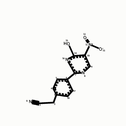 N#CCc1ccc(-c2ncc([N+](=O)[O-])c(O)n2)cc1